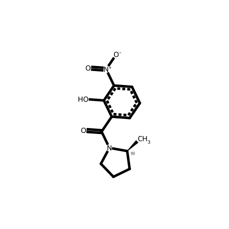 C[C@H]1CCCN1C(=O)c1cccc([N+](=O)[O-])c1O